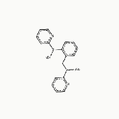 CCCCP(Cc1ccccc1P(CCCC)c1ccccn1)c1ccccn1